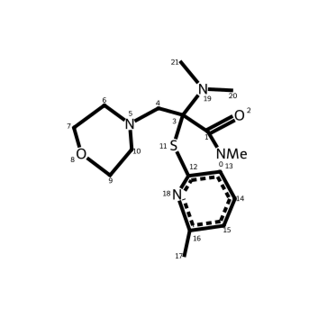 CNC(=O)C(CN1CCOCC1)(Sc1cccc(C)n1)N(C)C